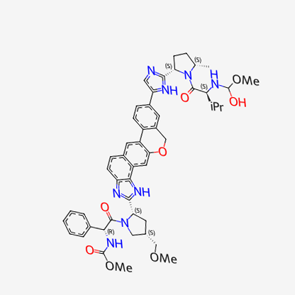 COC[C@H]1C[C@@H](c2nc3ccc4cc5c(cc4c3[nH]2)OCc2cc(-c3cnc([C@@H]4CC[C@H](C)N4C(=O)[C@@H](NC(O)OC)C(C)C)[nH]3)ccc2-5)N(C(=O)[C@H](NC(=O)OC)c2ccccc2)C1